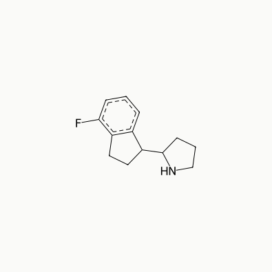 Fc1cccc2c1CCC2C1CCCN1